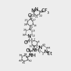 CCN1CCN(c2ccc(C(=O)N3CCC(c4ccc(Oc5ccc(C(F)(F)F)nn5)cc4)CC3)cc2NC(=O)Nc2ccccc2)CC1